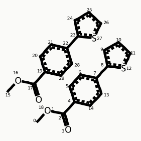 COC(=O)c1ccc(-c2cccs2)cc1.COC(=O)c1ccc(-c2cccs2)cc1